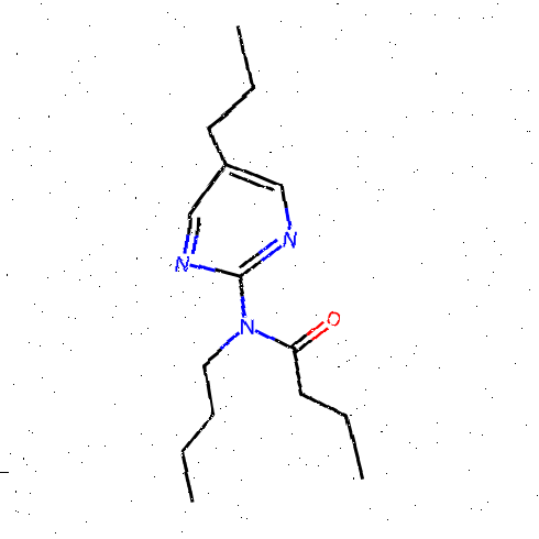 CCCCN(C(=O)CCC)c1ncc(CCC)cn1